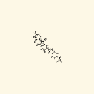 CN(C)C[C@H]1CC[C@H](CNc2cc3c(cc2F)C(=O)N(C2CCC(=O)NC2=O)C3=O)CC1